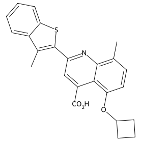 Cc1c(-c2cc(C(=O)O)c3c(OC4CCC4)ccc(C)c3n2)sc2ccccc12